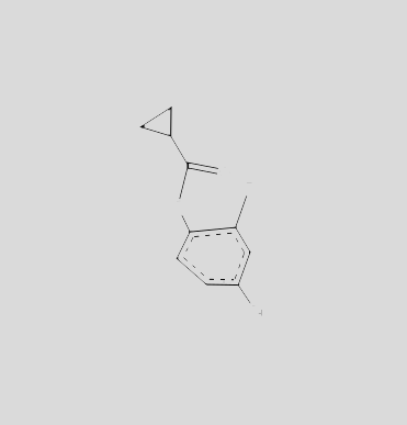 O=C(Oc1ccc(Br)cc1F)C1CC1